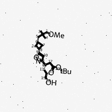 COCC(C)(C)C[C@H]1C[C@@H](c2cc([C@@H](CCCO)CC(=O)OC(C)(C)C)no2)C1